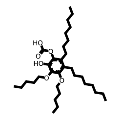 CCCCCCCCc1c(CCCCCCCC)c(OCCCCC)c(OCCCCC)c(O)c1OC(=O)O